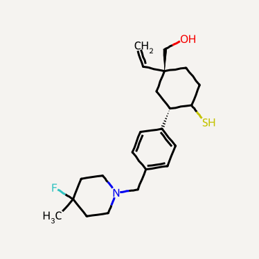 C=C[C@]1(CO)CCC(S)[C@H](c2ccc(CN3CCC(C)(F)CC3)cc2)C1